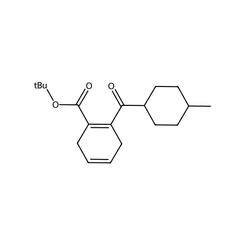 CC1CCC(C(=O)C2=C(C(=O)OC(C)(C)C)CC=CC2)CC1